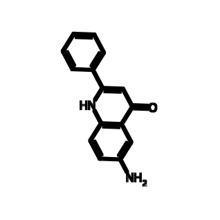 Nc1ccc2[nH]c(-c3ccccc3)cc(=O)c2c1